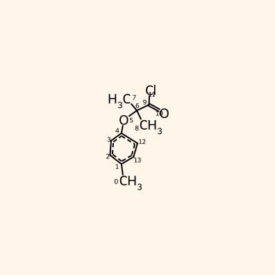 Cc1ccc(OC(C)(C)C(=O)Cl)cc1